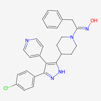 O/N=C(\Cc1ccccc1)N1CCC(c2[nH]nc(-c3ccc(Cl)cc3)c2-c2ccncc2)CC1